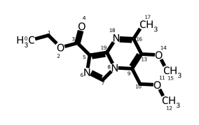 CCOC(=O)c1ncn2c(COC)c(OC)c(C)nc12